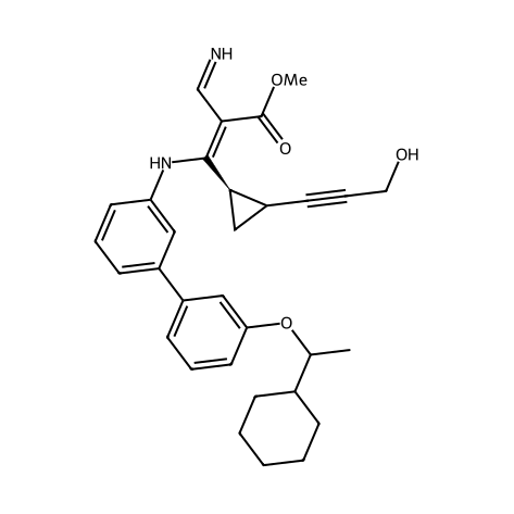 COC(=O)/C(C=N)=C(/Nc1cccc(-c2cccc(OC(C)C3CCCCC3)c2)c1)[C@@H]1CC1C#CCO